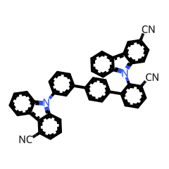 N#Cc1ccc2c(c1)c1ccccc1n2-c1c(C#N)cccc1-c1ccc(-c2cccc(-n3c4ccccc4c4c(C#N)cccc43)c2)cc1